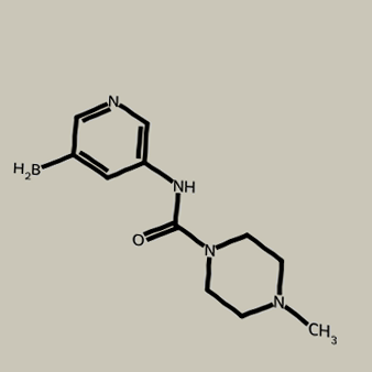 Bc1cncc(NC(=O)N2CCN(C)CC2)c1